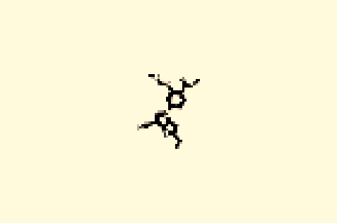 CCc1cc2c(s1)c(C#N)cn2-c1ccc(C(=O)OC)c(OCOC)c1